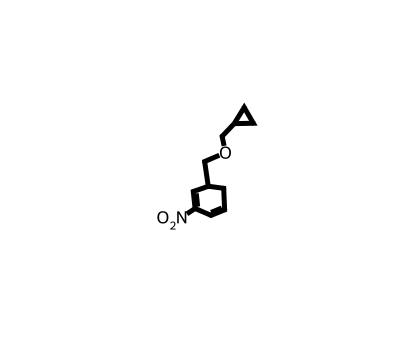 O=[N+]([O-])C1=CC(COCC2CC2)CC=C1